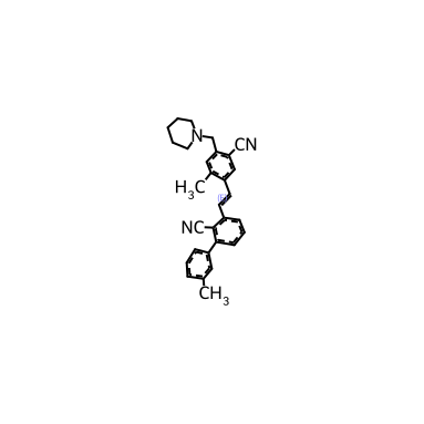 Cc1cccc(-c2cccc(/C=C/c3cc(C#N)c(CN4CCCCC4)cc3C)c2C#N)c1